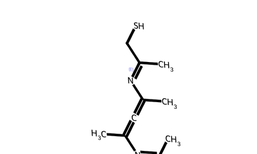 C/C=N\C(C)=C=C(C)/N=C(\C)CS